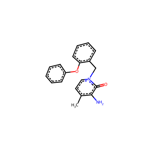 Cc1ccn(Cc2ccccc2Oc2ccccc2)c(=O)c1N